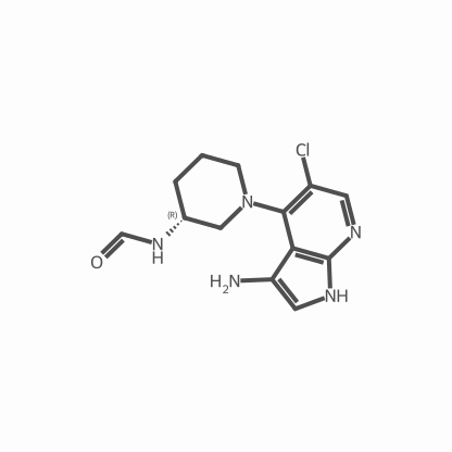 Nc1c[nH]c2ncc(Cl)c(N3CCC[C@@H](NC=O)C3)c12